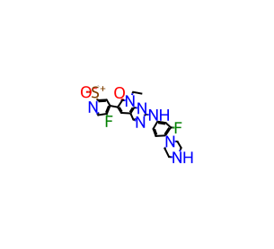 CCn1c(=O)c(-c2cc([S+](C)[O-])ncc2F)cc2cnc(Nc3ccc(N4CCNCC4)c(F)c3)nc21